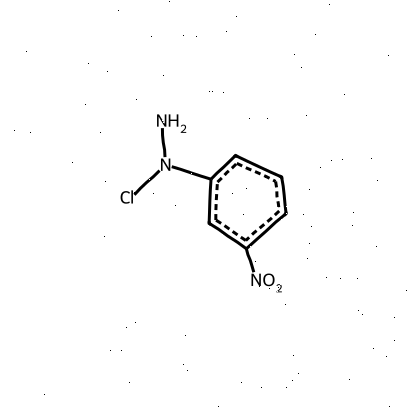 NN(Cl)c1cccc([N+](=O)[O-])c1